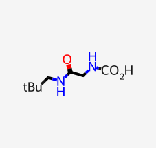 CC(C)(C)CNC(=O)CNC(=O)O